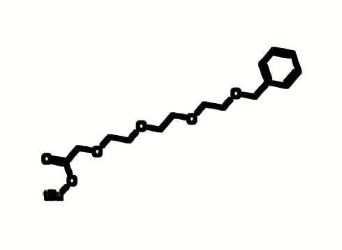 CC(C)(C)OC(=O)COCCOCCOCCOCc1ccccc1